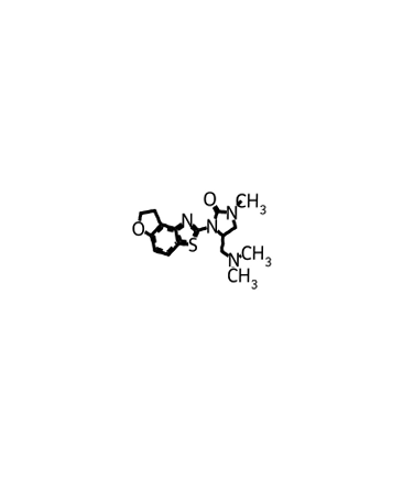 CN(C)CC1CN(C)C(=O)N1c1nc2c3c(ccc2s1)OCC3